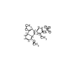 COc1cccc2c(OC)cccc12.Cc1ccccc1.O=S(=O)(Cl)Cl